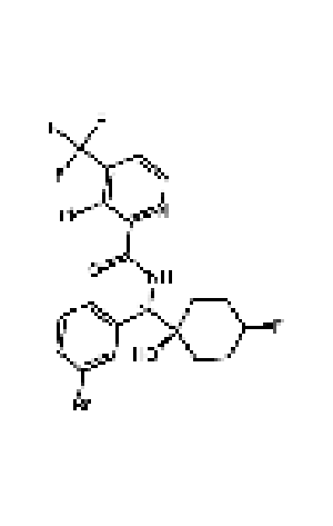 O=C(N[C@@H](c1cccc(Br)c1)[C@]1(O)CC[C@@H](F)CC1)c1nccc(C(F)(F)F)c1Cl